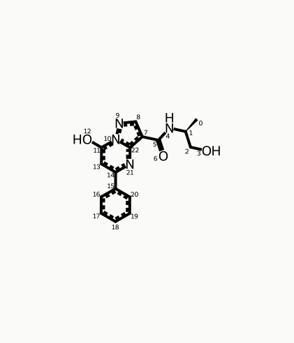 C[C@@H](CO)NC(=O)c1cnn2c(O)cc(-c3ccccc3)nc12